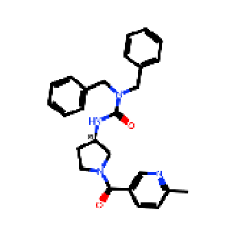 Cc1ccc(C(=O)N2CC[C@@H](NC(=O)N(Cc3ccccc3)Cc3ccccc3)C2)cn1